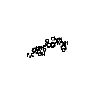 O=C(CN1Cc2ccc(-c3nc(NC4CCOCC4)ncc3Cl)cc2C1=O)N[C@H](CO)c1cccc(C(F)(F)F)n1